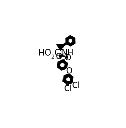 O=C(O)C1(NS(=O)(=O)c2cccc(Oc3ccc(Cl)c(Cl)c3)c2)CC1c1ccccc1